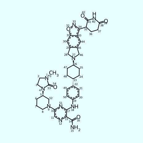 CN1CCN([C@@H]2CCCN(c3cnc(C(N)=O)c(Nc4ccc([C@H]5CC[C@H](N6Cc7cc8onc(C9CCC(=O)NC9=O)c8cc7C6)CC5)cc4)n3)C2)C1=O